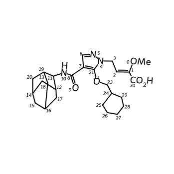 CO/C(=C\Cn1ncc(C(=O)NC2C3CC4CC(C3)CC2C4)c1OCC1CCCCC1)C(=O)O